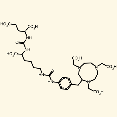 O=C(O)CC[C@H](NC(=O)N[C@@H](CCCCNC(=S)Nc1ccc(CC2CN(CC(=O)O)CCN(CC(=O)O)CCN2CC(=O)O)cc1)C(=O)O)C(=O)O